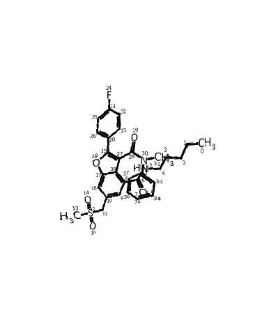 CCCCCNC(=O)c1cc(CS(C)(=O)=O)cc2oc(-c3ccc(F)cc3)c(C(=O)N(C)c3ccccc3)c12